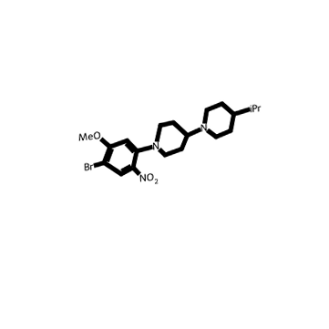 COc1cc(N2CCC(N3CCC(C(C)C)CC3)CC2)c([N+](=O)[O-])cc1Br